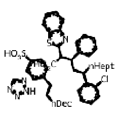 CCCCCCCC(CC(c1ccccc1)C(C(=O)O)c1nc2ccccc2s1)c1ccccc1Cl.CCCCCCCCCCCCc1ccc(S(=O)(=O)O)cc1.c1nn[nH]n1